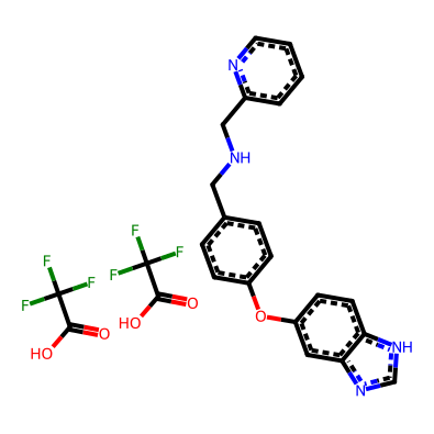 O=C(O)C(F)(F)F.O=C(O)C(F)(F)F.c1ccc(CNCc2ccc(Oc3ccc4[nH]cnc4c3)cc2)nc1